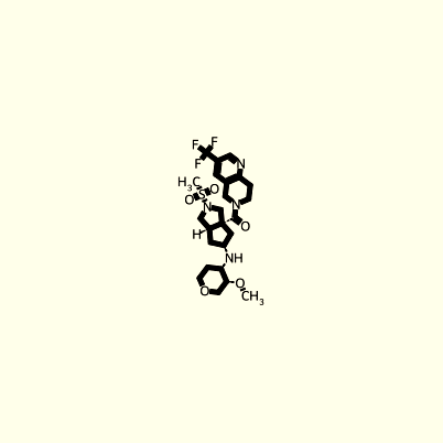 CO[C@@H]1COCC[C@@H]1N[C@@H]1C[C@H]2CN(S(C)(=O)=O)C[C@@]2(C(=O)N2CCc3ncc(C(F)(F)F)cc3C2)C1